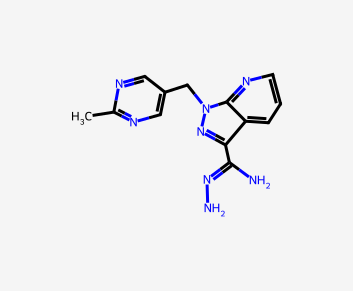 Cc1ncc(Cn2nc(/C(N)=N/N)c3cccnc32)cn1